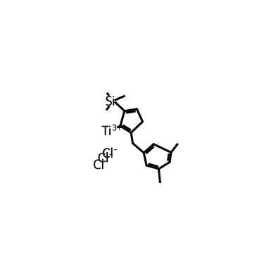 Cc1cc(C)cc(CC2=[C]([Ti+3])C([Si](C)(C)C)=CC2)c1.[Cl-].[Cl-].[Cl-]